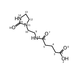 O=C(O)CCCC(=O)NCCN1CCNC1=O